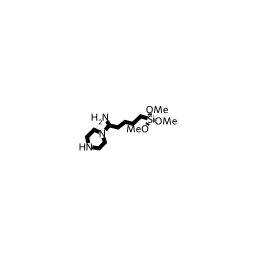 CO[Si](CCCCC(N)N1CCNCC1)(OC)OC